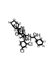 CC(C)(Oc1ccc(Cl)cc1Cl)C(=O)NC1CC2CCC(C1)N2c1ccc(C(=O)NCC(O)c2ccccc2)cn1